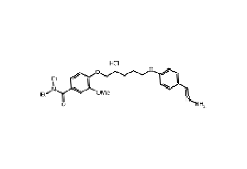 CCN(CC)C(=O)c1ccc(OCCCCCOc2ccc(C=NN)cc2)c(OC)c1.Cl